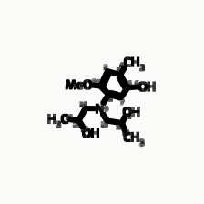 COc1cc(C)c(O)cc1N(CC(C)O)CC(C)O